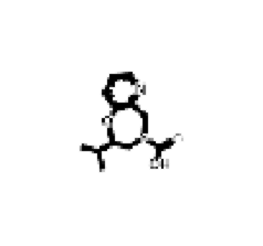 CC(C)C1CN(C(=O)O)Cc2ncccc2O1